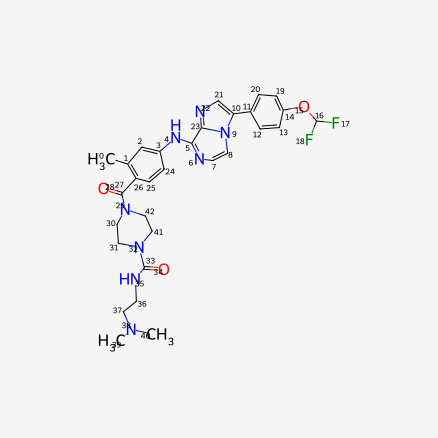 Cc1cc(Nc2nccn3c(-c4ccc(OC(F)F)cc4)cnc23)ccc1C(=O)N1CCN(C(=O)NCCN(C)C)CC1